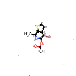 CC(=O)Oc1nc(C)c2sccc2c1Br